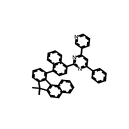 CC1(C)c2cccc(-c3ccc(-c4nc(-c5ccccc5)cc(-c5cccnc5)n4)c4ccccc34)c2-c2c1ccc1ccccc21